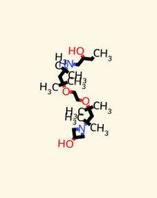 CCC(O)CNC(C)(C)CC(C)(C)OCCOC(C)(C)CC(C)(C)N1CC(O)C1